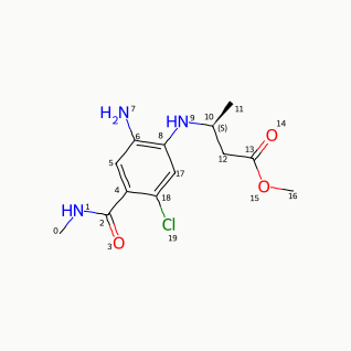 CNC(=O)c1cc(N)c(N[C@@H](C)CC(=O)OC)cc1Cl